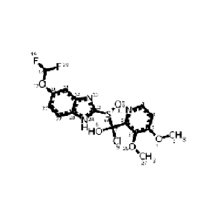 COc1ccnc(C(O)(Cl)[S+]([O-])c2nc3cc(OC(F)F)ccc3[nH]2)c1OC